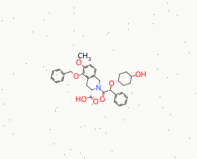 COc1ccc2c(c1OCc1ccccc1)C[C@@H](C(=O)O)N(C(=O)[C@@H](O[C@H]1CC[C@H](O)CC1)c1ccccc1)C2